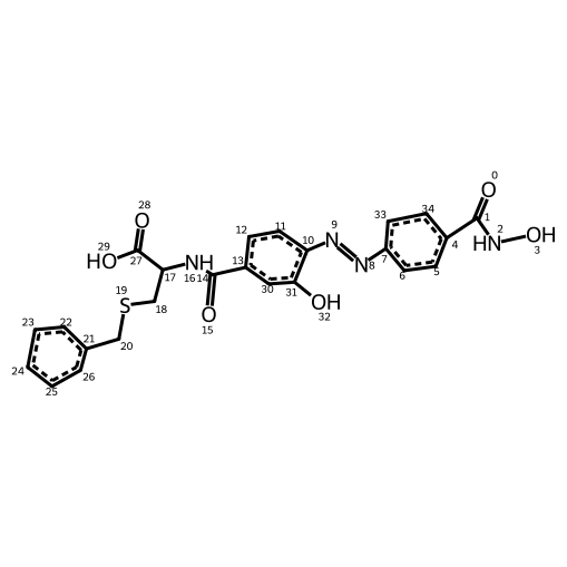 O=C(NO)c1ccc(/N=N/c2ccc(C(=O)NC(CSCc3ccccc3)C(=O)O)cc2O)cc1